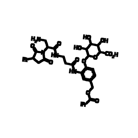 CCC1CC(=O)N(C(CN)C(=O)NCCC(=O)Nc2cc(COC(=O)C(C)C)ccc2OC2OC(C(=O)O)C(O)C(O)C2O)C1=O